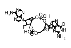 COC1C2COP(=O)(O)OC3C(F)C(n4cnc5c(N)ncnc54)C4CC43COP(=O)(O)OC1C(n1cnc3c(=O)[nH]c(N)nc31)O2